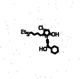 CCSCCCC[C@@H]1[C@@H](C#C[C@@H](O)C2CCCCC2)[C@H](O)C[C@H]1Cl